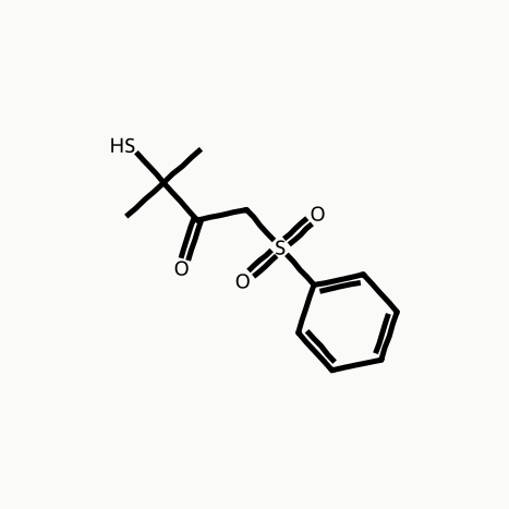 CC(C)(S)C(=O)CS(=O)(=O)c1ccccc1